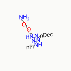 CCCCCCCCCCc1nc(NCCC)nc(NCCOCCOCCN)n1